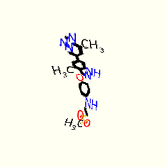 Cc1cc(-c2cc(C)c3ncnn3c2)cc2[nH]nc(OC3CCC(NCCS(C)(=O)=O)CC3)c12